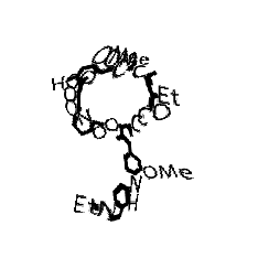 CCC1/C=C(\C)CC(C)CC(OC)C2OC(O)(C(=O)C(=O)N3CCCCC3C(=O)OC(C(C)=CC3CCC(Nc4ccc5c(ccn5CC)c4)C(OC)C3)C(C)CCC1=O)C(C)CC2OC